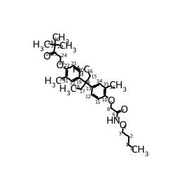 CCCCONC(=O)COc1ccc(C(CC)(CC)c2ccc(OCC(=O)C(C)(C)C)c(C)c2)cc1C